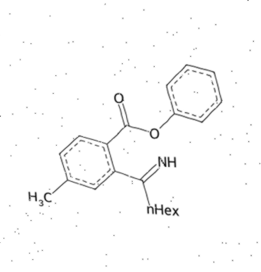 CCCCCCC(=N)c1cc(C)ccc1C(=O)Oc1ccccc1